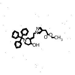 CCOC(=O)Cc1cnn(C/C=C2\CN(C(c3ccccc3)(c3ccccc3)c3ccccc3)CCC2O)c1